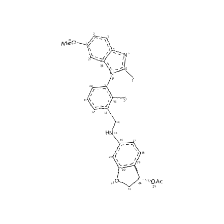 COc1ccc2nc(C)n(-c3cccc(CNc4ccc5c(c4)OC[C@H]5OC(C)=O)c3C)c2c1